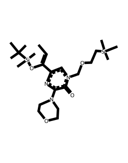 CC=C(O[Si](C)(C)C(C)(C)C)c1cn(COCC[Si](C)(C)C)c(=O)c(N2CCOCC2)n1